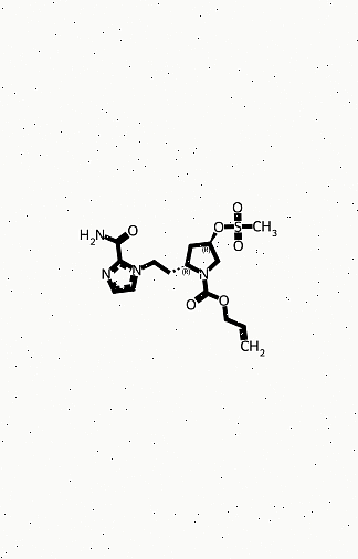 C=CCOC(=O)N1C[C@H](OS(C)(=O)=O)C[C@H]1CCn1ccnc1C(N)=O